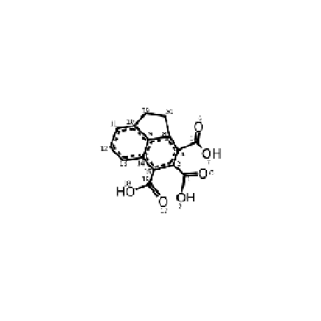 O=C(O)c1c(C(=O)O)c2c3c(cccc3c1C(=O)O)CC2